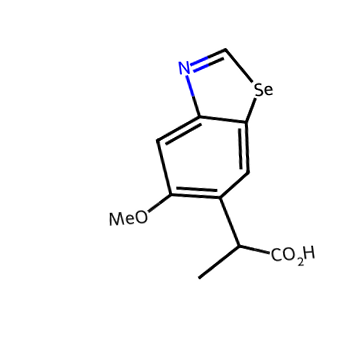 COc1cc2nc[se]c2cc1C(C)C(=O)O